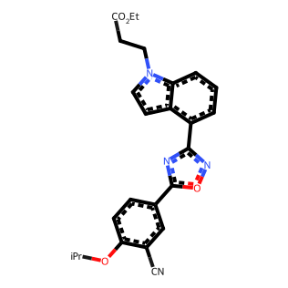 CCOC(=O)CCn1ccc2c(-c3noc(-c4ccc(OC(C)C)c(C#N)c4)n3)cccc21